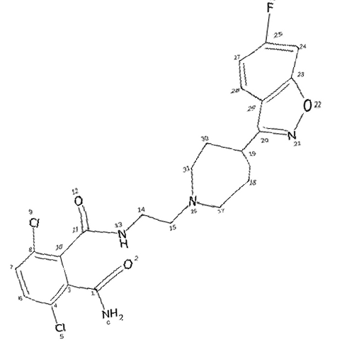 NC(=O)c1c(Cl)ccc(Cl)c1C(=O)NCCN1CCC(c2noc3cc(F)ccc23)CC1